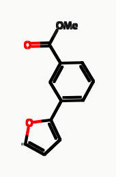 COC(=O)c1cccc(-c2cc[c]o2)c1